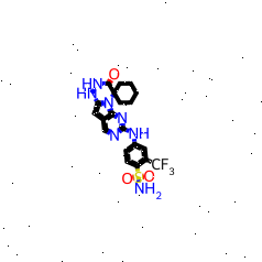 NS(=O)(=O)c1ccc(Nc2ncc3cc4n(c3n2)C2(CCCCC2)C(=O)NN4)cc1C(F)(F)F